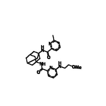 COCCNc1cccc(C(=O)NC23CC4CC(CC(NC(=O)c5cccc(C)n5)(C4)C2)C3)n1